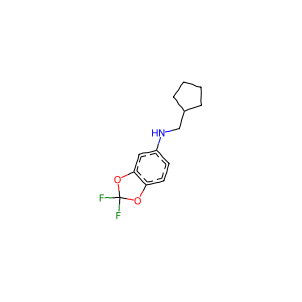 FC1(F)Oc2ccc(NCC3CCCC3)cc2O1